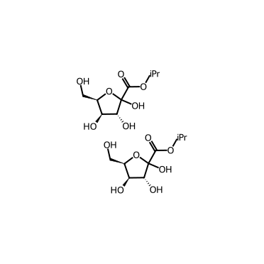 CC(C)OC(=O)C1(O)O[C@H](CO)[C@H](O)[C@H]1O.CC(C)OC(=O)C1(O)O[C@H](CO)[C@H](O)[C@H]1O